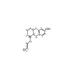 Oc1ccc2c(c1)CC1CCCN(C/C=C/Cl)C1C2